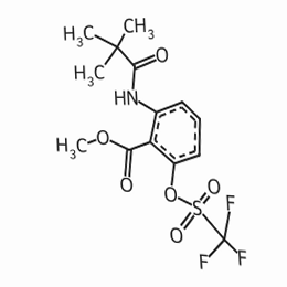 COC(=O)c1c(NC(=O)C(C)(C)C)cccc1OS(=O)(=O)C(F)(F)F